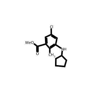 COC(=O)c1cc(Cl)cc(NC2CCCC2)c1C